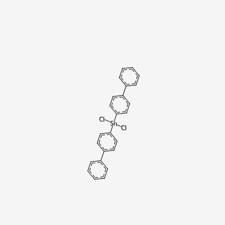 [Cl][Sn]([Cl])([c]1ccc(-c2ccccc2)cc1)[c]1ccc(-c2ccccc2)cc1